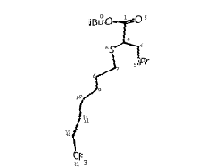 CC(C)COC(=O)C(CC(C)C)SCCCCCCC(F)(F)F